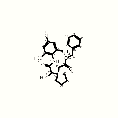 Cc1cc(Cl)cc(C)c1NC(=O)C(C)[PH]1(CC(=O)OCc2ccccc2)CCCC1